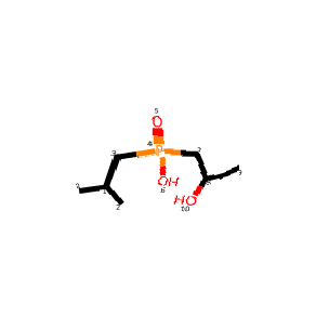 CC(C)CP(=O)(O)CC(C)O